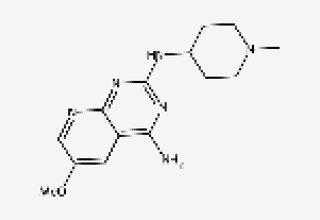 COc1cnc2nc(NC3CCN(C)CC3)nc(N)c2c1